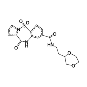 O=C(NCCC1COCCO1)c1ccc2c(c1)NC(=O)c1cccn1S2(=O)=O